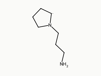 NCCCN1[CH]CCC1